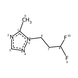 Cc1ncnn1CCC(F)F